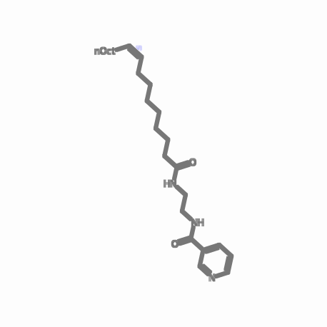 CCCCCCCC/C=C\CCCCCCCC(=O)NCCNC(=O)c1cccnc1